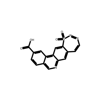 O=C(O)c1ccc2cnc3cc4c(cc3c2c1)S(=O)(=O)N=NC=C4